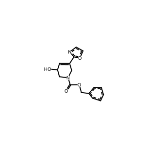 O=C(OCc1ccccc1)N1CC(c2ncco2)=CC(O)C1